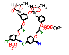 CC(C)O[C@@H](Cc1cccc(OC[C@H](F)COc2ccc(Cl)cc2C#N)c1)C(=O)[O-].CC(C)O[C@@H](Cc1cccc(OC[C@H](F)COc2ccc(Cl)cc2C#N)c1)C(=O)[O-].O.O.O.O.O.O.[Ca+2]